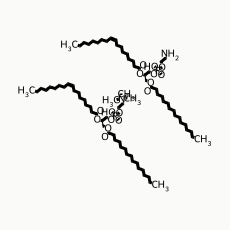 CCCCCCCC/C=C\CCCCCCCC(=O)O[C@H](COC(=O)CCCCCCCCCCCCCCC)COP(=O)(O)OCCN.CCCCCCCC/C=C\CCCCCCCC(=O)O[C@H](COC(=O)CCCCCCCCCCCCCCC)COP(=O)(O)OCC[N+](C)(C)C